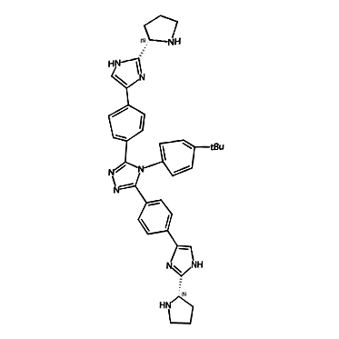 CC(C)(C)c1ccc(-n2c(-c3ccc(-c4c[nH]c([C@@H]5CCCN5)n4)cc3)nnc2-c2ccc(-c3c[nH]c([C@@H]4CCCN4)n3)cc2)cc1